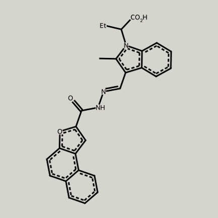 CCC(C(=O)O)n1c(C)c(C=NNC(=O)c2cc3c(ccc4ccccc43)o2)c2ccccc21